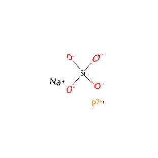 [Na+].[O-][Si]([O-])([O-])[O-].[P+3]